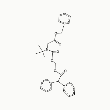 CC(C)(C)N(CC(=O)OCc1ccccc1)C(=O)OCOC(=O)C(c1ccccc1)c1ccccc1